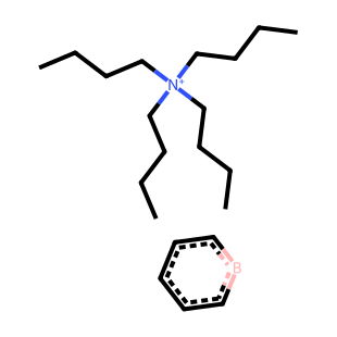 CCCC[N+](CCCC)(CCCC)CCCC.b1ccccc1